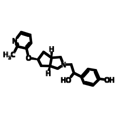 Cc1ncccc1O[C@H]1C[C@@H]2CN(CC(O)c3ccc(O)cc3)C[C@@H]2C1